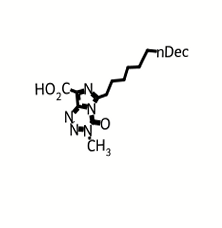 CCCCCCCCCCCCCCCCc1nc(C(=O)O)c2nnn(C)c(=O)n12